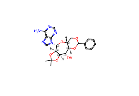 CC1(C)O[C@@H]2[C@@H](O)[C@@H]3OC(c4ccccc4)OC[C@H]3O[C@@H](n3cnc4c(N)ncnc43)[C@@H]2O1